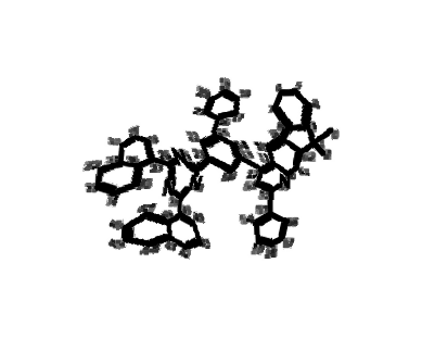 CC1(C)c2ccccc2-c2cc3c(-c4cc(-c5ccccc5)cc(-c5nc(-c6cccc7ccccc67)nc(-c6cccc7ccccc67)n5)c4)cc(-c4ccccc4)nc3cc21